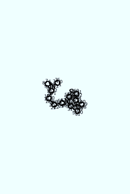 c1ccc(-n2c3ccccc3c3cc(-c4cccc(-c5cccc(-c6ccc(N(c7ccc8c(c7)C(c7ccccc7)(c7ccccc7)c7ccccc7-8)c7ccc8sc9ccccc9c8c7)cc6)c5)c4)ccc32)cc1